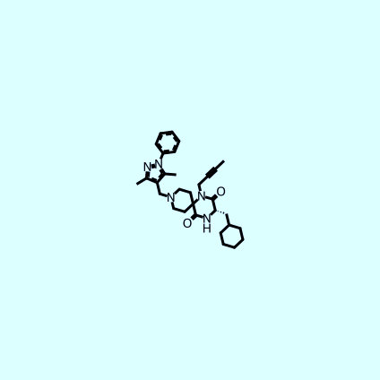 CC#CCN1C(=O)[C@H](CC2CCCCC2)NC(=O)C12CCN(Cc1c(C)nn(-c3ccccc3)c1C)CC2